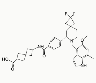 COc1cc(C)c2[nH]ccc2c1CN1CCC2(C[C@H]1c1ccc(C(=O)NC3CC4(C3)CC(C(=O)O)C4)cc1)CC(F)(F)C2